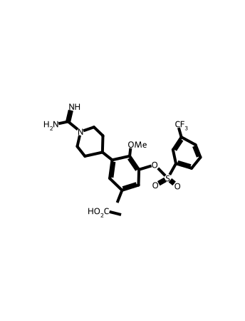 CC(=O)O.COc1c(OS(=O)(=O)c2cccc(C(F)(F)F)c2)cc(C)cc1C1CCN(C(=N)N)CC1